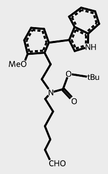 COc1cccc(-c2c[nH]c3ccccc23)c1CCN(CCCCCC=O)C(=O)OC(C)(C)C